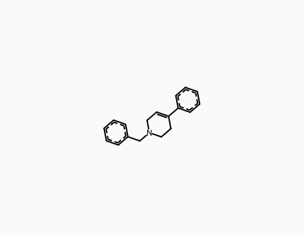 C1=C(c2ccccc2)CCN(Cc2ccccc2)C1